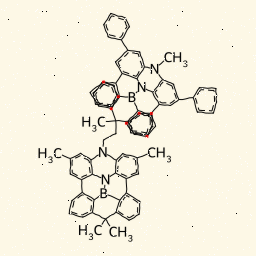 Cc1cc2c3c(c1)N(CCC1(C)c4ccccc4B(N4c5c(-c6ccccc6)cc(-c6ccccc6)cc5N(C)c5cc(-c6ccccc6)cc(-c6ccccc6)c54)c4ccccc41)c1cc(C)cc4c1N3B1c3c-2cccc3C(C)(C)c2cccc-4c21